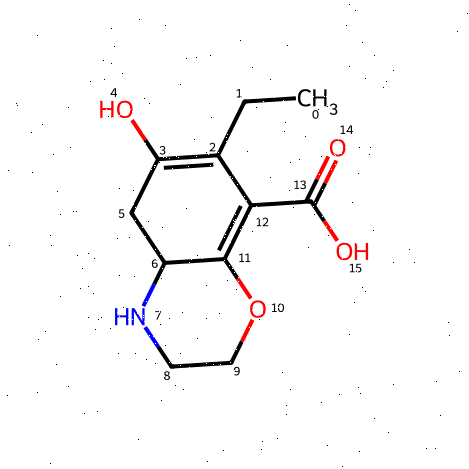 CCC1=C(O)CC2NCCOC2=C1C(=O)O